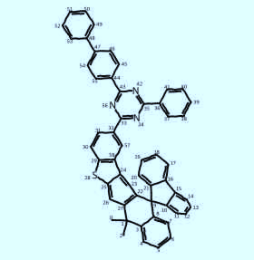 CC1(C)c2ccccc2C2(c3ccccc3-c3ccccc32)c2cc3c(cc21)sc1ccc(-c2nc(-c4ccccc4)nc(-c4ccc(-c5ccccc5)cc4)n2)cc13